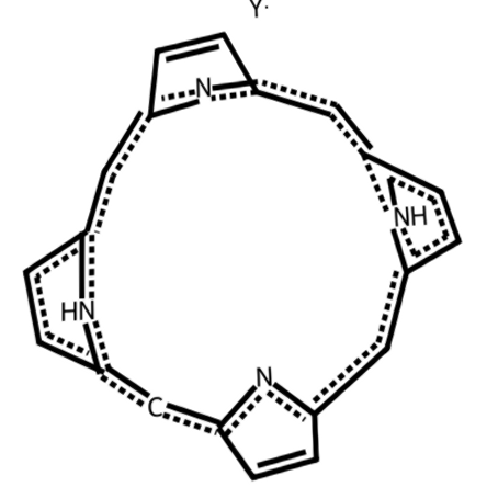 C1=Cc2cc3ccc(cc4nc(cc5ccc(cc1n2)[nH]5)C=C4)[nH]3.[Y]